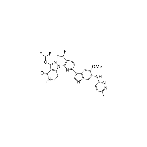 COc1cc2c(cc1Nc1ccc(C)nn1)ncn2-c1ccc(C(F)F)c(-n2nc(OC(F)F)c3c2CCN(C)C3=O)n1